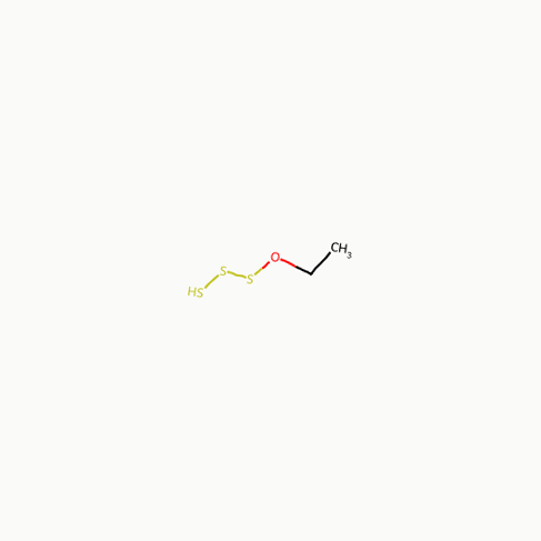 CCOSSS